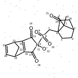 CC1(C)C2CCC1(CS(=O)(=O)[N+]1([O-])C(=O)C3=C(C1=O)C1C=CC3C1)C(=O)C2